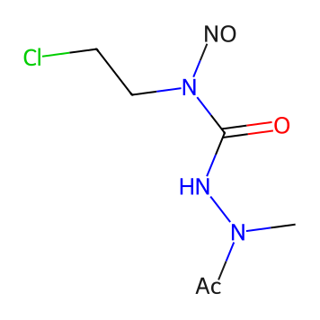 CC(=O)N(C)NC(=O)N(CCCl)N=O